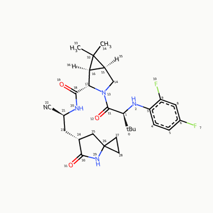 CC(C)(C)[C@H](Nc1ccc(F)cc1F)C(=O)N1C[C@H]2[C@@H]([C@H]1C(=O)N[C@H](C#N)C[C@@H]1CC3(CC3)NC1=O)C2(C)C